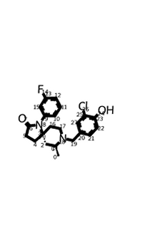 C[C@H]1C[C@@]2(CCC(=O)N2c2cccc(F)c2)CCN1Cc1ccc(O)c(Cl)c1